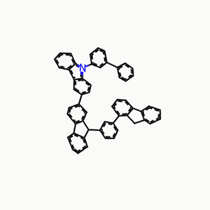 c1ccc(-c2cccc(-n3c4ccccc4c4cc(-c5ccc6c(c5)C(c5cccc(-c7cccc8c7Cc7ccccc7-8)c5)c5ccccc5-6)ccc43)c2)cc1